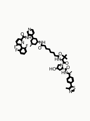 Cc1ncsc1-c1ccc([C@H](C)NC(=O)[C@@H]2C[C@@H](O)CN2C(=O)[C@@H](NC(=O)CCCCCCC(=O)N[C@@H]2CC(c3ccncc3NC(=O)c3ccc(F)c(-c4c(F)cccc4F)n3)C[C@H](C)C2)C(C)(C)C)cc1